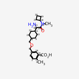 Cc1ccc(COCC2CCC([C@H](N)C(=O)N(C)C3CCC3)CC2)cc1C(=O)O